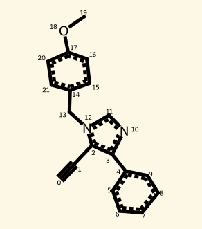 C#Cc1c(-c2ccccc2)ncn1Cc1ccc(OC)cc1